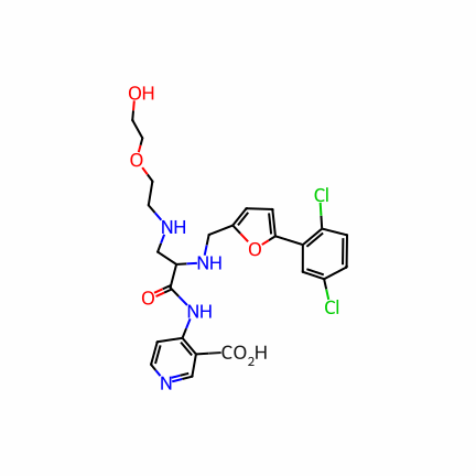 O=C(O)c1cnccc1NC(=O)C(CNCCOCCO)NCc1ccc(-c2cc(Cl)ccc2Cl)o1